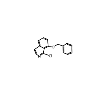 Clc1nccc2cccc(OCc3ccccc3)c12